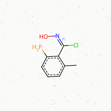 Cc1cccc(P)c1/C(Cl)=N\O